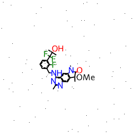 CO[C@@]1(C)C(=O)N(C)c2cc3c(N[C@H](C)c4cccc(C(F)(F)C(C)(C)O)c4F)nc(C)nc3cc21